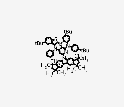 CC(C)(C)c1ccc(N2c3ccc(C(C)(C)C)cc3B3c4sc5ccc(C(C)(C)C)cc5c4N(c4ccccc4)c4cc(-n5c6cc7c(cc6c6cc8c(cc65)C(C)(C)CC8(C)C)C(C)(C)CC7(C)C)nc2c43)cc1